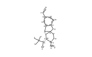 CC(C)(C)[S+]([O-])[C@@H]1CC2(CCN1N)Cc1cc(C=O)cnc1C2